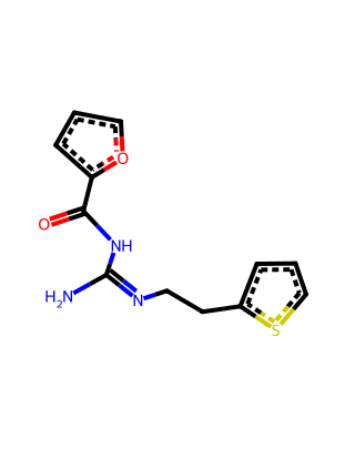 NC(=NCCc1cccs1)NC(=O)c1ccco1